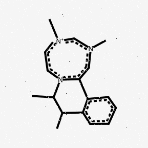 CC1c2ccccc2-c2cn(C)c[n+](C)ccn2C1C